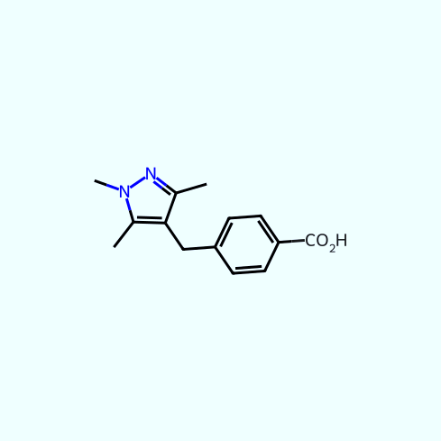 Cc1nn(C)c(C)c1Cc1ccc(C(=O)O)cc1